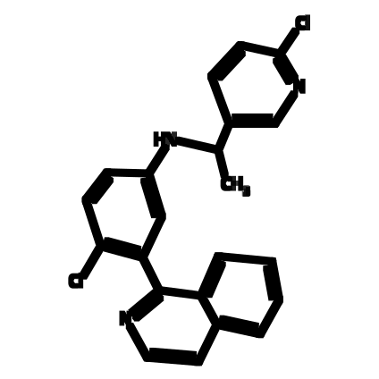 CC(Nc1ccc(Cl)c(-c2nccc3ccccc23)c1)c1ccc(Cl)nc1